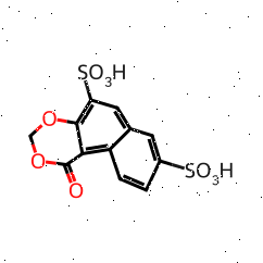 O=C1OCOc2c(S(=O)(=O)O)cc3cc(S(=O)(=O)O)ccc3c21